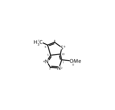 COc1ncnc2c(C)csc12